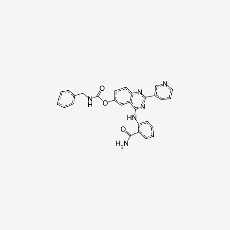 NC(=O)c1ccccc1Nc1nc(-c2cccnc2)nc2ccc(OC(=O)NCc3ccccc3)cc12